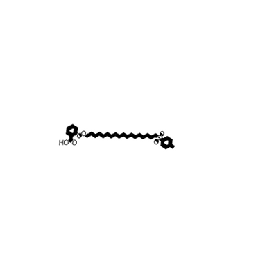 Cc1ccc(S(=O)(=O)CCCCCCCCCCCCCCCCCCOOc2ccccc2C(=O)O)cc1